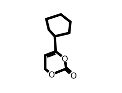 O=C1OCC=C(C2CCCCC2)O1